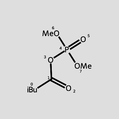 CCC(C)C(=O)OP(=O)(OC)OC